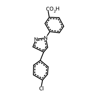 O=C(O)c1cccc(-n2cc(-c3ccc(Cl)cc3)cn2)c1